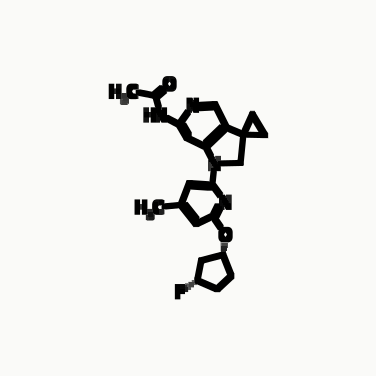 CC(=O)Nc1cc2c(cn1)C1(CC1)CN2c1cc(C)cc(O[C@@H]2CC[C@H](F)C2)n1